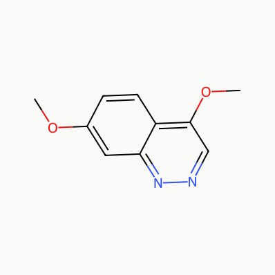 COc1ccc2c(OC)cnnc2c1